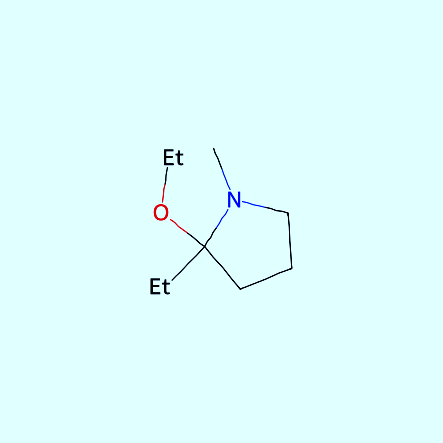 CCOC1(CC)CCCN1C